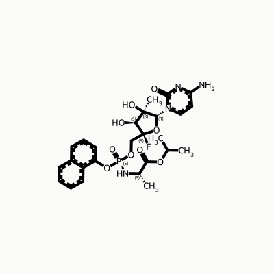 CC(C)OC(=O)[C@H](C)N[P@](=O)(OC[C@@]1(F)O[C@@H](n2ccc(N)nc2=O)[C@](C)(O)[C@@H]1O)Oc1cccc2ccccc12